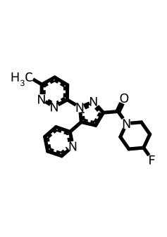 Cc1ccc(-n2nc(C(=O)N3CCC(F)CC3)cc2-c2ccccn2)nn1